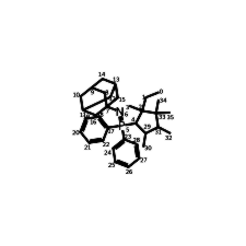 CCC1(C)C(P(=NC23CC4CC(CC(C4)C2)C3)(c2ccccc2)c2ccccc2)C(C)C(C)C1(C)C